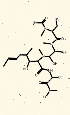 C/C=C/CC(C)C(O)C(C(=O)NC(CC)C(=O)N(C)C(C)C)N(C)C(O)C(C(C)C)N(C)C(=O)C(CC(C)C)N(C)C(=O)C(C)C